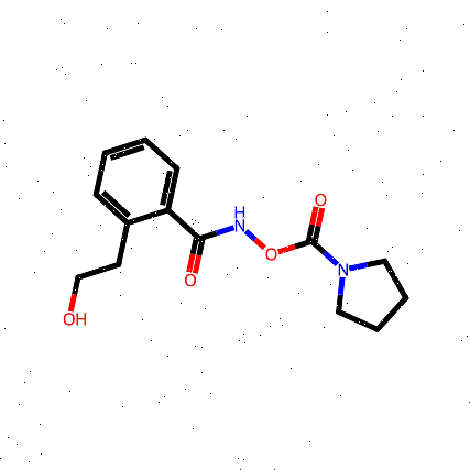 O=C(NOC(=O)N1CCCC1)c1ccccc1CCO